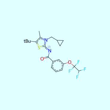 Cc1c(C(C)(C)C)s/c(=N\C(=O)c2cccc(OC(F)(F)C(F)F)c2)n1CC1CC1